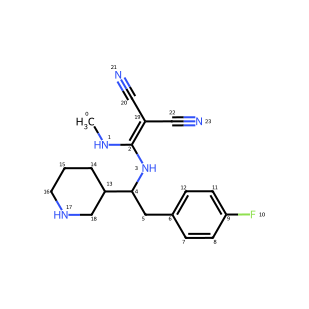 CNC(NC(Cc1ccc(F)cc1)C1CCCNC1)=C(C#N)C#N